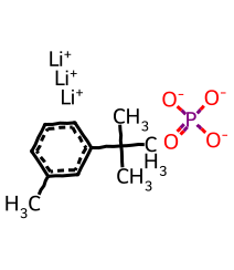 Cc1cccc(C(C)(C)C)c1.O=P([O-])([O-])[O-].[Li+].[Li+].[Li+]